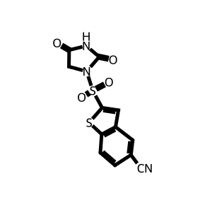 N#Cc1ccc2sc(S(=O)(=O)N3CC(=O)NC3=O)cc2c1